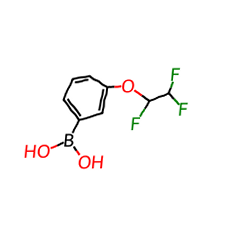 OB(O)c1cccc(OC(F)C(F)F)c1